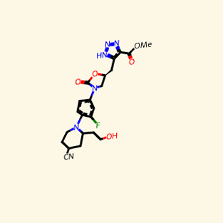 COC(=O)c1nn[nH]c1C[C@H]1CN(c2ccc(N3CCC(C#N)CC3CCO)c(F)c2)C(=O)O1